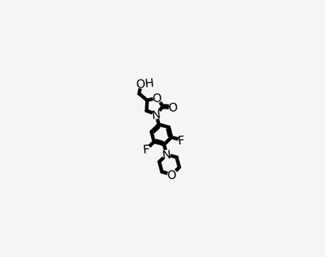 O=C1OC(CO)CN1c1cc(F)c(N2CCOCC2)c(F)c1